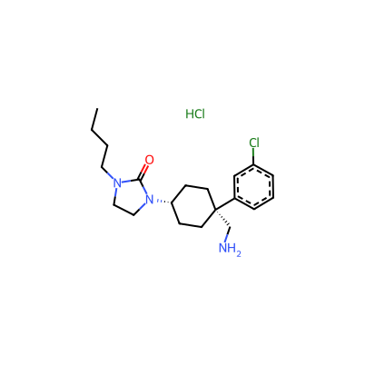 CCCCN1CCN([C@H]2CC[C@](CN)(c3cccc(Cl)c3)CC2)C1=O.Cl